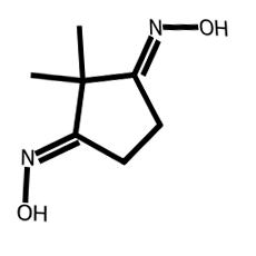 CC1(C)C(=NO)CC/C1=N\O